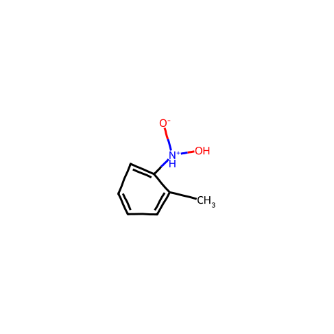 Cc1ccccc1[NH+]([O-])O